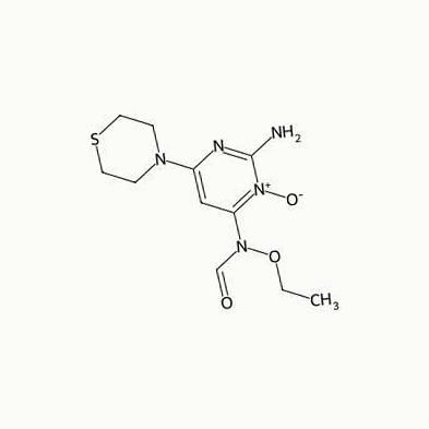 CCON(C=O)c1cc(N2CCSCC2)nc(N)[n+]1[O-]